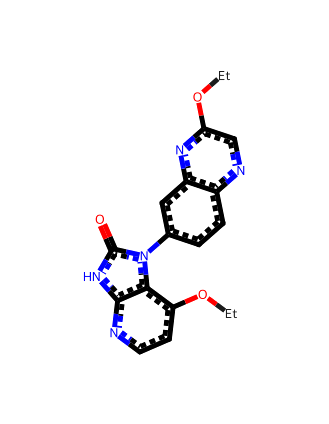 CCOc1cnc2ccc(-n3c(=O)[nH]c4nccc(OCC)c43)cc2n1